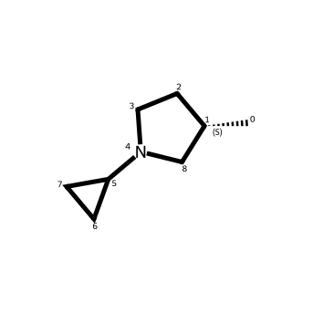 C[C@H]1CCN(C2CC2)C1